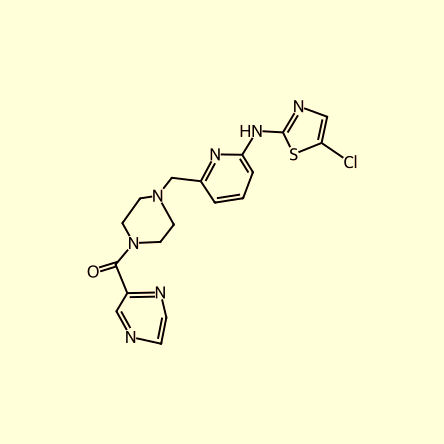 O=C(c1cnccn1)N1CCN(Cc2cccc(Nc3ncc(Cl)s3)n2)CC1